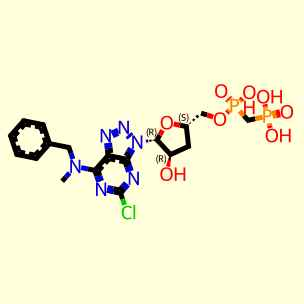 CN(Cc1ccccc1)c1nc(Cl)nc2c1nnn2[C@@H]1O[C@H](COP(=O)(O)CP(=O)(O)O)C[C@H]1O